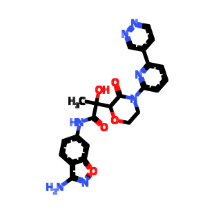 CC(O)(C(=O)Nc1ccc2c(N)noc2c1)C1OCCN(c2cccc(-c3ccnnc3)n2)C1=O